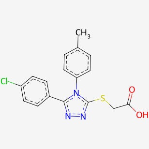 Cc1ccc(-n2c(SCC(=O)O)nnc2-c2ccc(Cl)cc2)cc1